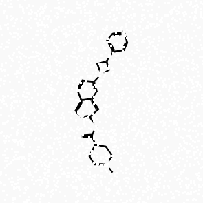 CN1CCC(C(=O)Nc2cc3cc(N4CC(c5ccncc5)C4)ccc3cn2)CC1